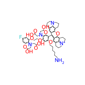 NCCCCCCOc1cc(OCCOc2cc(F)ccc2N(CC(=O)O)CC(=O)O)c(N(CC(=O)O)CC(=O)O)cc1C1=c2cc3c4c(c2Oc2c1cc1c5c2CCCN5CCC1)CCC[N+]=4CCC3